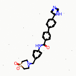 O=C(Nc1ccc(CN2CCS(=O)(=O)CC2)cc1)c1ccc(-c2ccc(-c3cnc[nH]3)cc2)cc1